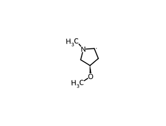 CO[C@@H]1C[CH]N(C)C1